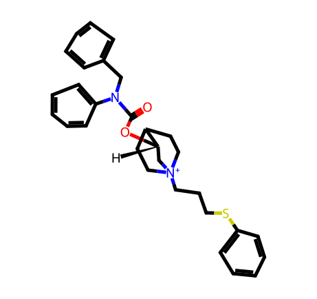 O=C(O[C@H]1C[N+]2(CCCSc3ccccc3)CCC1CC2)N(Cc1ccccc1)c1ccccc1